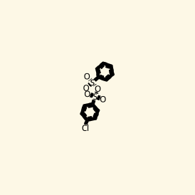 O=S(=O)(OS(=O)(=O)c1ccc(Cl)cc1)c1ccccc1